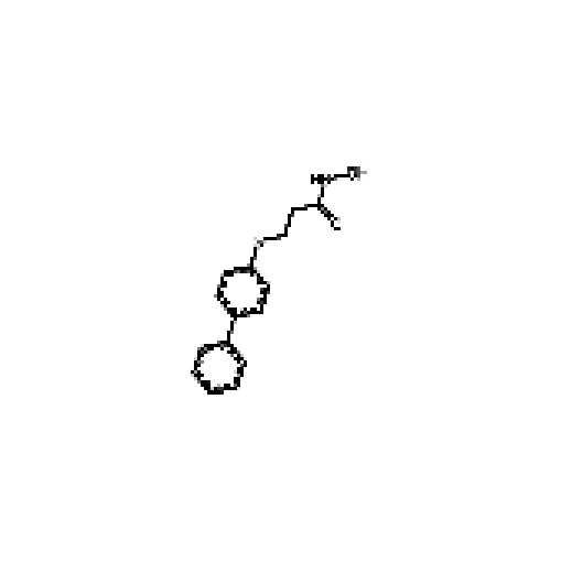 O=C(CCSc1ccc(-c2ccccc2)cc1)NO